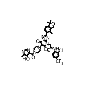 CCc1c(N2CCN(C(=O)c3ncnc(C)c3O)CC2)c(=O)n2nc(-c3ccc4c(c3C)COC4(C)C)nc2n1CC(=O)Nc1ccc(C(F)(F)F)cc1Cl